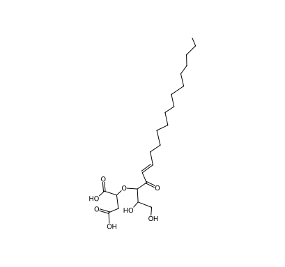 CCCCCCCCCCCCCC=CC(=O)C(OC(CC(=O)O)C(=O)O)C(O)CO